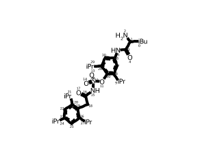 CCC(C)C(N)C(=O)Nc1cc(C(C)C)c(OS(=O)(=O)NC(=O)Cc2c(C(C)C)cc(C(C)C)cc2C(C)C)c(C(C)C)c1